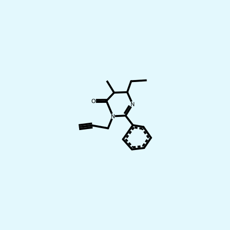 C#CCN1C(=O)C(C)C(CC)N=C1c1ccccc1